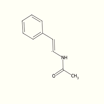 CC(=O)N/[C]=C/c1ccccc1